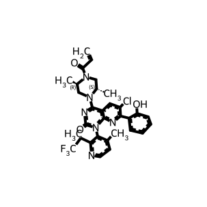 C=CC(=O)N1C[C@H](C)N(c2nc(=O)n(-c3c(C)ccnc3C(C)C(F)(F)F)c3nc(-c4ccccc4O)c(Cl)cc23)C[C@H]1C